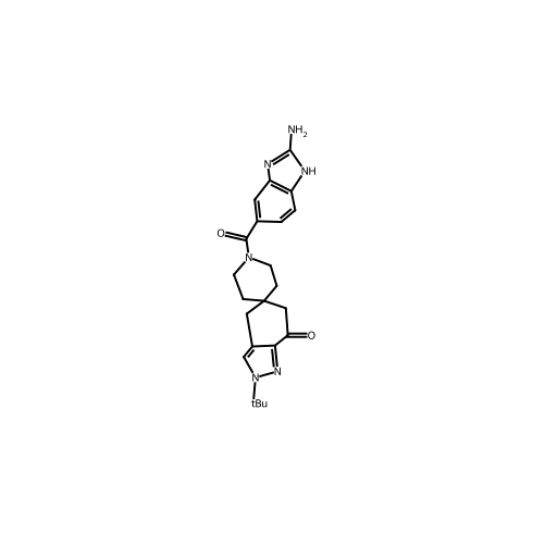 CC(C)(C)n1cc2c(n1)C(=O)CC1(CCN(C(=O)c3ccc4[nH]c(N)nc4c3)CC1)C2